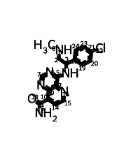 CNCC(Nc1ncnc2c(C(N)=O)ccnc12)c1ccc(Cl)cc1